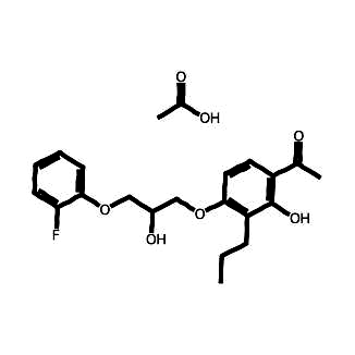 CC(=O)O.CCCc1c(OCC(O)COc2ccccc2F)ccc(C(C)=O)c1O